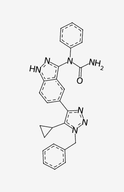 NC(=O)N(c1ccccc1)c1n[nH]c2ccc(-c3nnn(Cc4ccccc4)c3C3CC3)cc12